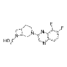 O=C(O)N1CC2CCN(c3cnc4ccc(F)c(F)c4n3)CC21